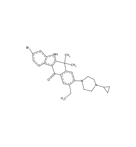 CCc1cc2c(cc1N1CCN(C3CC3)CC1)C(C)(C)c1[nH]c3cc(Br)ccc3c1C2=O